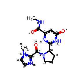 CNC(=O)c1cc(=O)[nH]c(C2CCCN2C(=O)c2nccn2C)n1